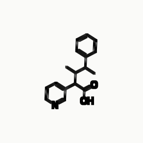 CC(c1ccccc1)C(C)C(C(=O)O)c1cccnc1